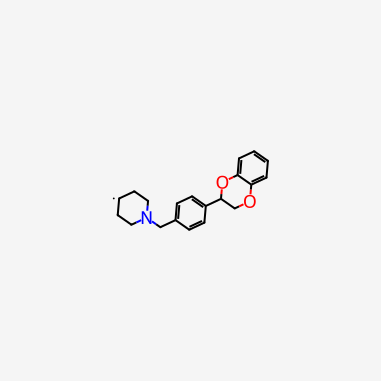 [CH]1CCN(Cc2ccc(C3COc4ccccc4O3)cc2)CC1